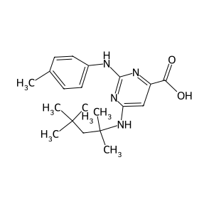 Cc1ccc(Nc2nc(NC(C)(C)CC(C)(C)C)cc(C(=O)O)n2)cc1